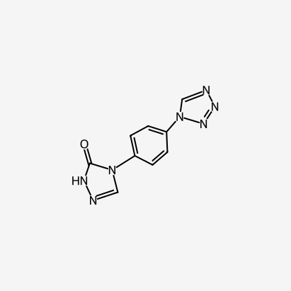 O=c1[nH]ncn1-c1ccc(-n2cnnn2)cc1